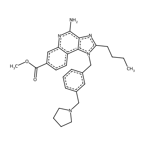 CCCCc1nc2c(N)nc3cc(C(=O)OC)ccc3c2n1Cc1cccc(CN2CCCC2)c1